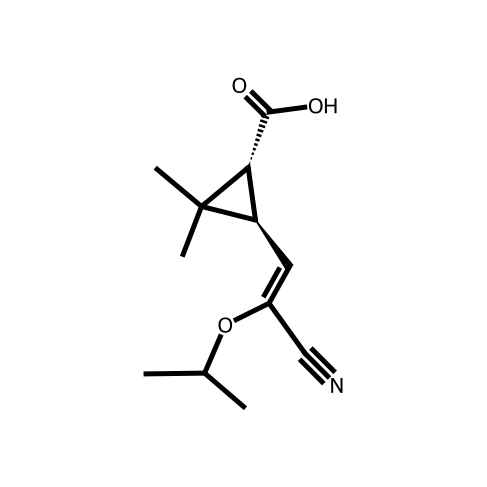 CC(C)OC(C#N)=C[C@@H]1[C@@H](C(=O)O)C1(C)C